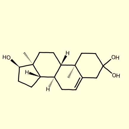 C[C@]12CC[C@H]3[C@@H](CC=C4CC(O)(O)CC[C@@]43C)[C@@H]1CC[C@H]2O